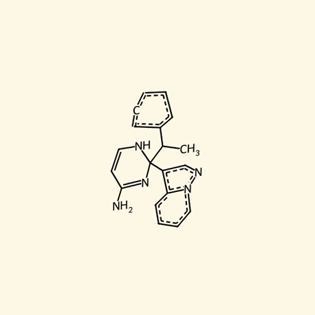 CC(c1ccccc1)C1(c2cnn3ccccc23)N=C(N)C=CN1